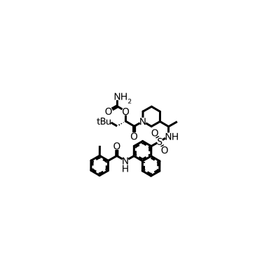 Cc1ccccc1C(=O)Nc1ccc(S(=O)(=O)NC(C)C2CCCN(C(=O)[C@H](CC(C)(C)C)OC(N)=O)C2)c2ccccc12